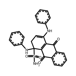 NS(=O)(=O)C1(Nc2ccccc2)CC=C(Nc2ccccc2)C2=C1C(=O)c1ccccc1C2=O